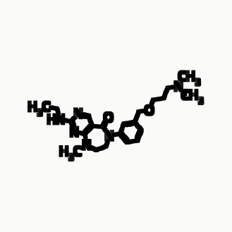 CCNc1ncc2c(n1)N(C)CCN(c1cccc(COCCCN(C)C)c1)C2=O